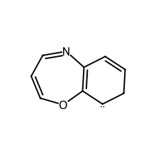 [C]1CC=CC2=C1OC=CC=N2